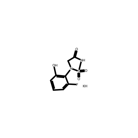 O=C1CN(c2c(O)cccc2F)S(=O)(=O)N1.[KH]